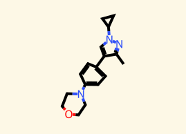 Cc1nn(C2CC2)cc1-c1ccc(N2CCOCC2)cc1